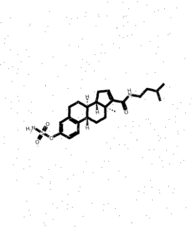 CC(C)CCNC(=O)C1=CC[C@H]2[C@@H]3CCc4cc(OS(N)(=O)=O)ccc4[C@H]3CC[C@]12C